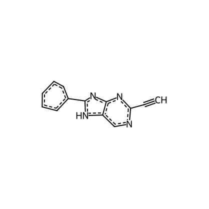 C#Cc1ncc2[nH]c(-c3ccccc3)nc2n1